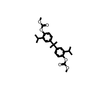 COC(=O)Oc1ccc(C(C)(C)c2ccc(OC(=O)OC)c(C(C)C)c2)cc1C(C)C